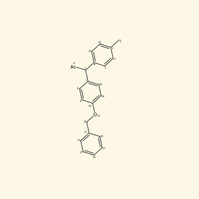 [CH2]c1ccc(C(C(C)=O)c2ccc(OCc3ccccc3)cc2)cc1